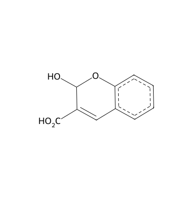 O=C(O)C1=Cc2ccccc2OC1O